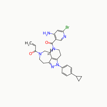 C=CC(=O)N1CCc2nn(-c3ccc(C4CC4)cc3)c3c2[C@H](C1)N(C(=O)c1cnc(Br)cc1N)CC3